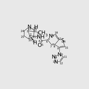 C[C@H]1[C@H](NC(=O)c2cc3c(-n4ccnn4)csc3cn2)C2CCN1CC2